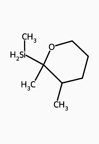 C[SiH2]C1(C)OCCCC1C